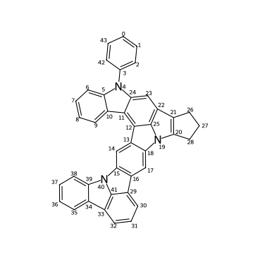 c1ccc(-n2c3ccccc3c3c4c5cc6c(cc5n5c7c(c(cc32)c45)CCC7)c2cccc3c4ccccc4n6c32)cc1